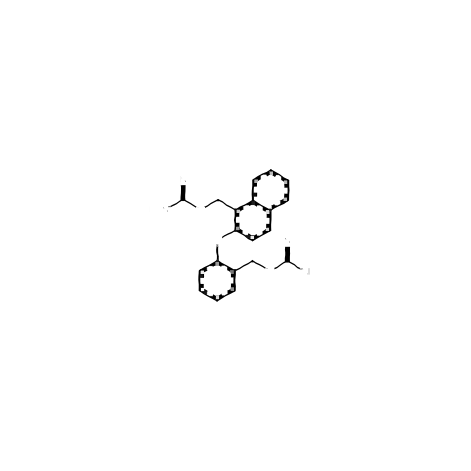 N=C(N)SCc1ccccc1Sc1ccc2ccccc2c1CSC(=N)N